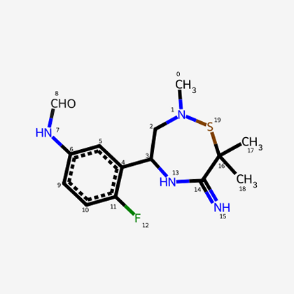 CN1CC(c2cc(NC=O)ccc2F)NC(=N)C(C)(C)S1